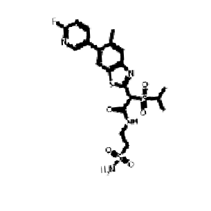 Cc1cc2nc(C(C(=O)NCCS(N)(=O)=O)S(=O)(=O)C(C)C)sc2cc1-c1ccc(F)nc1